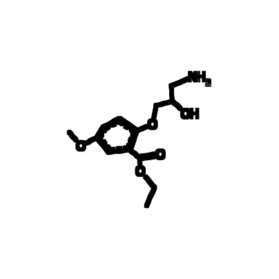 CCOC(=O)c1cc(OC)ccc1OCC(O)CN